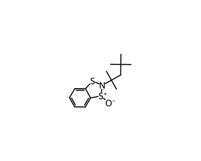 CC(C)(C)CC(C)(C)N1Sc2ccccc2[S+]1[O-]